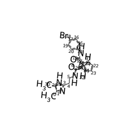 Cc1nc(CCNC(=O)[C@H]2[C@H](C(=O)Nc3ccc(Br)cc3)[C@@H]3C=C[C@H]2C32CC2)[nH]c1C